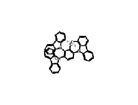 Cc1c(-n2c3ccccc3c3cccc(C)c32)ccc(-n2c3ccccc3c3ccccc32)c1-n1c2ccccc2c2cccc(C)c21